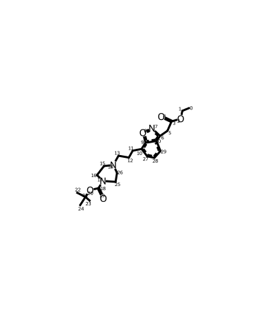 CCOC(=O)Cc1noc2c(CCCN3CCN(C(=O)OC(C)(C)C)CC3)cccc12